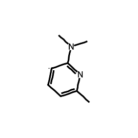 Cc1cc[c]c(N(C)C)n1